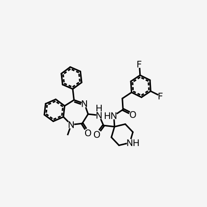 CN1C(=O)C(NC(=O)C2(NC(=O)Cc3cc(F)cc(F)c3)CCNCC2)N=C(c2ccccc2)c2ccccc21